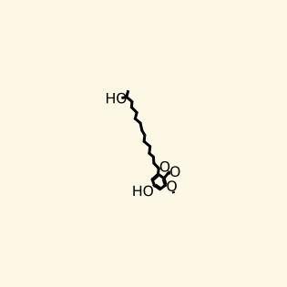 COc1cc(O)cc2c1C(=O)OC2CCCCCCCCCCCCC(C)O